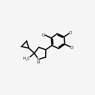 CC1(C2CC2)CC(c2cc(Cl)c(Cl)cc2Cl)CN1